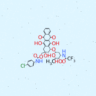 C[C@H]1O[C@@H](O[C@H]2CC(O)(COC(=O)Nc3ccc(Cl)cc3)Cc3c(O)c4c(c(O)c32)C(=O)c2ccccc2C4=O)C[C@H](NC(=O)C(F)(F)F)[C@H]1O